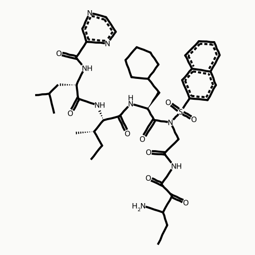 CCC(N)C(=O)C(=O)NC(=O)CN(C(=O)[C@H](CC1CCCCC1)NC(=O)[C@@H](NC(=O)[C@H](CC(C)C)NC(=O)c1cnccn1)[C@@H](C)CC)S(=O)(=O)c1ccc2ccccc2c1